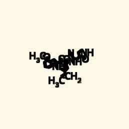 C=C(CC)C1CC(C(=O)NC(C#N)CC2CCNC2=O)N(C(=O)c2cc3c(OC)cccc3[nH]2)C1